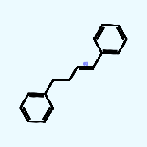 C(=C\c1ccccc1)/CCc1ccccc1